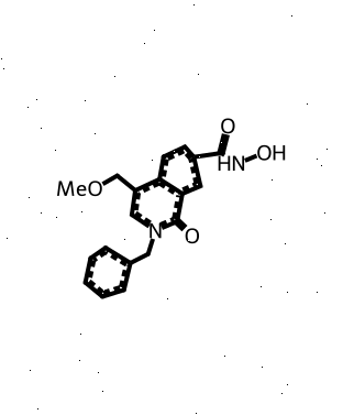 COCc1cn(Cc2ccccc2)c(=O)c2cc(C(=O)NO)ccc12